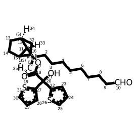 CN(CCCCCCCCC=O)[C@H]1[C@H]2CC[C@@H]1[C@H](OC(=O)C(O)(c1cccs1)c1cccs1)C2